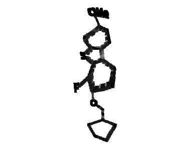 COc1ccc2c(c1)sc1c(F)c(OCC3CCCC3)ccc12